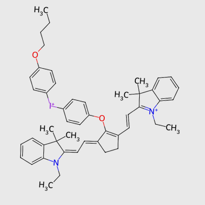 CCCCOc1ccc([I+]c2ccc(OC3=C(/C=C/C4=[N+](CC)c5ccccc5C4(C)C)CC/C3=C\C=C3\N(CC)c4ccccc4C3(C)C)cc2)cc1